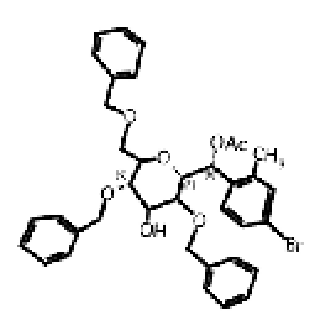 CC(=O)O[C@H](c1ccc(Br)cc1C)[C@H]1OC(COCc2ccccc2)[C@@H](OCc2ccccc2)C(O)C1OCc1ccccc1